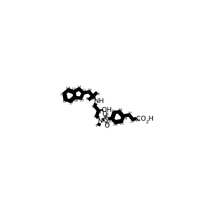 CN(C[C@H](O)CNC(C)(C)CC1Cc2ccccc2C1)S(=O)(=O)c1ccc(CCC(=O)O)cc1